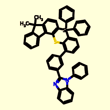 CC1(C)c2ccccc2-c2c1ccc1c2Sc2c(-c3cccc(-c4nc5ccccc5n4-c4ccccc4)c3)cccc2[Si]1(c1ccccc1)c1ccccc1